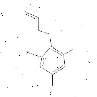 C=CCCc1c(C)cc(C)cc1F